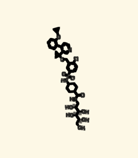 O=C(NC[C@H](O)[C@@H](O)[C@H](O)[C@H](O)CO)C1CCC(NS(=O)(=O)c2ccc(Cl)c(COC3(c4cnccc4-c4ccccc4OC4CC4)CC3)c2)CC1